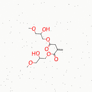 C=C(CC(=O)OCC(O)COC)C(=O)OCC(O)COC